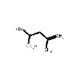 C=C(C)CC(CCCC)C(=O)O